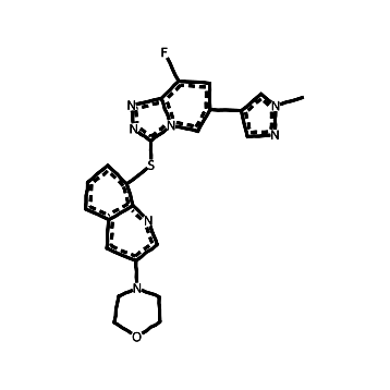 Cn1cc(-c2cc(F)c3nnc(Sc4cccc5cc(N6CCOCC6)cnc45)n3c2)cn1